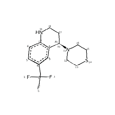 FC(F)(F)c1ccc2c(c1)[C@H](N1CCSCC1)CCN2